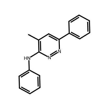 Cc1cc(-c2ccccc2)nnc1Nc1ccccc1